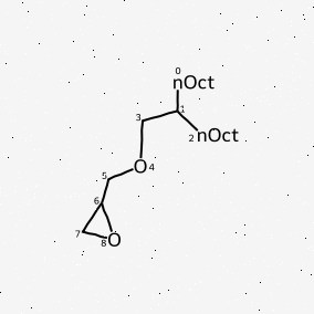 CCCCCCCCC(CCCCCCCC)COCC1CO1